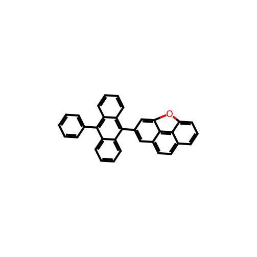 c1ccc(-c2c3ccccc3c(-c3cc4ccc5cccc6oc(c3)c4c56)c3ccccc23)cc1